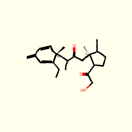 C=C1C=C[C@](C)(C(C)C(=O)C[C@@]2(C)C(C)CCC2C(=O)CO)C(CC)=C1